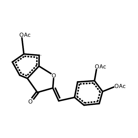 CC(=O)Oc1[c]c2c(cc1)C(=O)C(=Cc1ccc(OC(C)=O)c(OC(C)=O)c1)O2